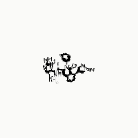 C[C@H](Nc1nc(N)ncc1N)c1cc2cccc(-c3cn[nH]c3)c2c(=O)n1-c1ccccc1